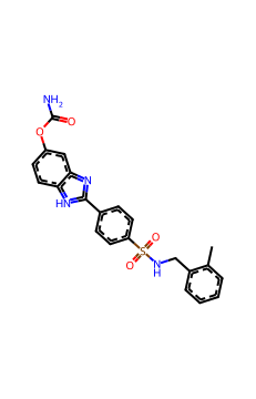 Cc1ccccc1CNS(=O)(=O)c1ccc(-c2nc3cc(OC(N)=O)ccc3[nH]2)cc1